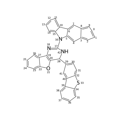 c1ccc2cc3c(cc2c1)c1ccccc1n3C1=Nc2c(oc3ccccc23)C(c2ccc3sc4ccccc4c3c2)N1